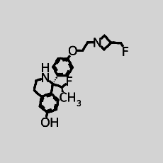 C[C@H](F)[C@]1(c2ccc(OCCN3CC(CF)C3)cc2)NCCc2cc(O)ccc21